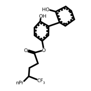 CCCC(CCC(=O)Oc1ccc(O)c(-c2ccccc2O)c1)C(F)(F)F